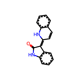 O=C1Nc2ccccc2/C1=C1\C=Cc2ccccc2N1